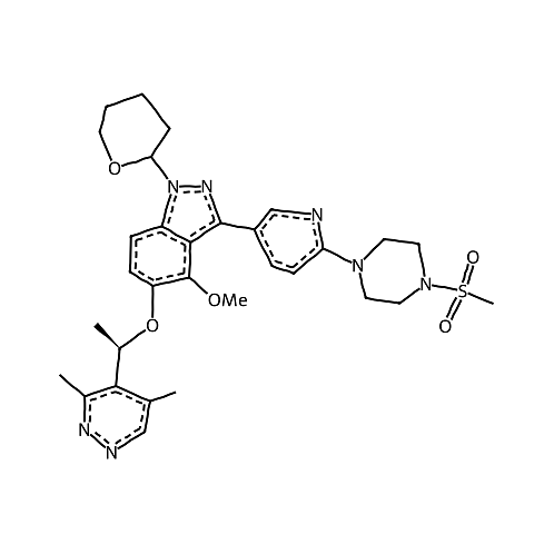 COc1c(O[C@H](C)c2c(C)cnnc2C)ccc2c1c(-c1ccc(N3CCN(S(C)(=O)=O)CC3)nc1)nn2C1CCCCO1